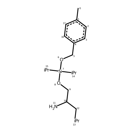 Cc1ccc(CO[Si](OCC(N)CC(C)C)(C(C)C)C(C)C)cc1